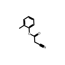 Cc1ccccc1OC(=O)CC#N